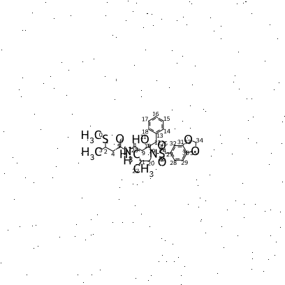 CSC(C)CC(=O)NCCC(O)(Cc1ccccc1)N(CC(C)C)S(=O)(=O)c1ccc2c(c1)OCO2